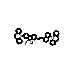 CC1(C)c2cc(/C=C/c3cccc4c(N5c6ccccc6CCc6ccccc65)cccc34)ccc2-c2ccc(N3C4=C(C=CCC4)C=Cc4ccccc43)cc21